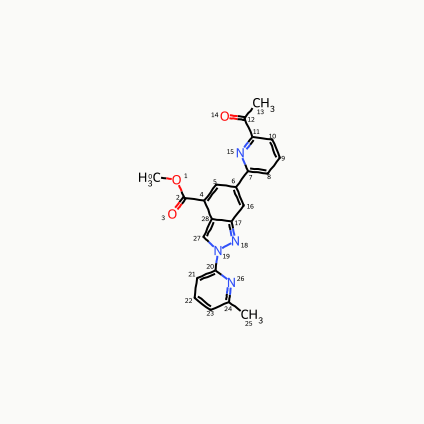 COC(=O)c1cc(-c2cccc(C(C)=O)n2)cc2nn(-c3cccc(C)n3)cc12